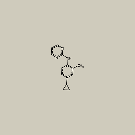 Cc1cc(C2CC2)ccc1Nc1ncccn1